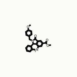 COC(=O)c1cc(N)c2c(c1)C(=O)N(Cc1ccc(OC)cc1)C2c1ccccc1C